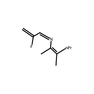 C=C(F)/C=N\C(C)=C(\C)CCC